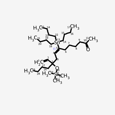 C=CC(C/C=[C](\CCCCC(C)=O)[Sn]([CH2]CCC)([CH2]CCC)[CH2]CCC)(CCCC)O[Si](C)(C)C